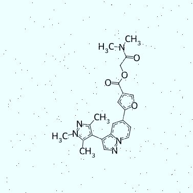 Cc1nn(C)c(C)c1-c1cnn2ccc(-c3cc(C(=O)OCC(=O)N(C)C)co3)cc12